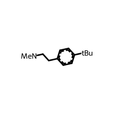 CNCCc1ccc(C(C)(C)C)cc1